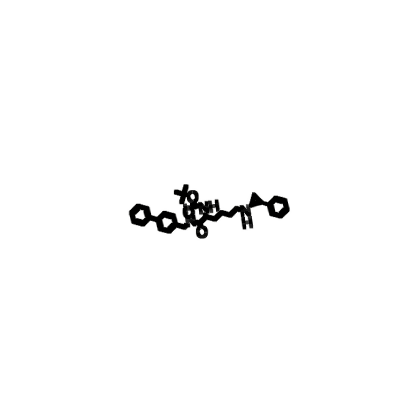 CC(C)(C)OC(=O)NC(CCCCN[C@@H]1C[C@H]1c1ccccc1)C(=O)NCc1ccc(-c2ccccc2)cc1